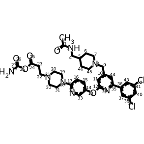 CC(=O)NCC1CCN(Cc2cc(Oc3ccc(N4CCN(CCC(=O)OC(N)=O)CC4)nc3)nc(-c3cc(Cl)cc(Cl)c3)c2)CC1